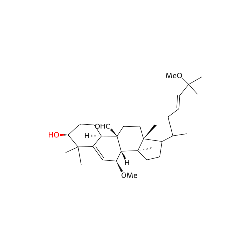 CO[C@H]1C=C2[C@@H](CC[C@H](O)C2(C)C)[C@]2(C=O)CC[C@]3(C)C(C(C)C/C=C/C(C)(C)OC)CC[C@@]3(C)[C@H]12